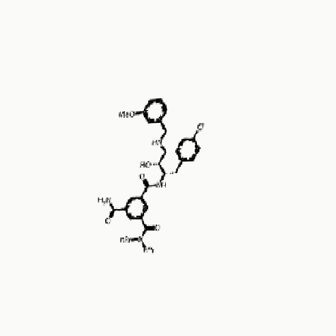 CCCN(CCC)C(=O)c1cc(C(N)=O)cc(C(=O)N[C@@H](Cc2ccc(Cl)cc2)[C@H](O)CNCc2cccc(OC)c2)c1